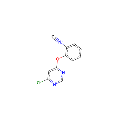 [C-]#[N+]c1ccccc1Oc1cc(Cl)ncn1